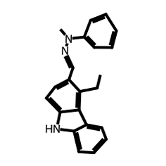 CCc1c(C=NN(C)c2ccccc2)ccc2[nH]c3ccccc3c12